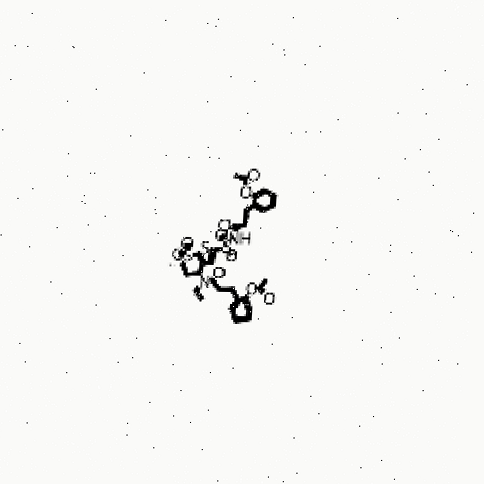 CCN(C(=O)CCc1ccccc1OC(C)=O)[C@H]1C[C@H](C)S(=O)(=O)c2sc(S(=O)(=O)NC(=O)CCc3ccccc3OC(C)=O)cc21